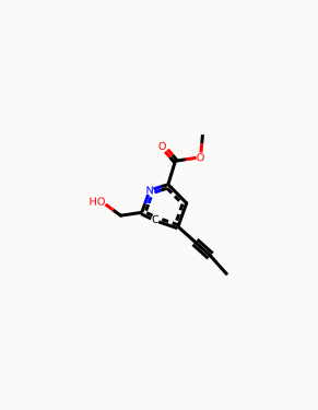 CC#Cc1cc(CO)nc(C(=O)OC)c1